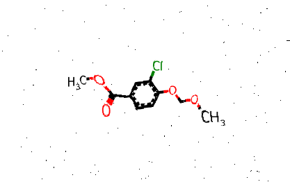 COCOc1ccc(C(=O)OC)cc1Cl